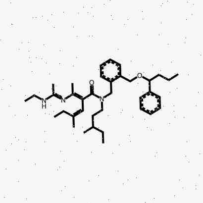 CCCC(OCc1ccccc1CN(CCC(C)CC)C(=O)C(/C=C(/C)CC)=C(C)/N=C(\C)NCC)c1ccccc1